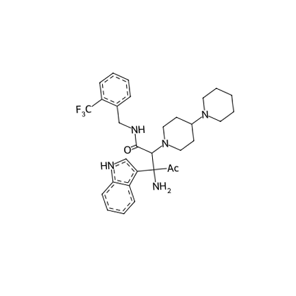 CC(=O)C(N)(c1c[nH]c2ccccc12)C(C(=O)NCc1ccccc1C(F)(F)F)N1CCC(N2CCCCC2)CC1